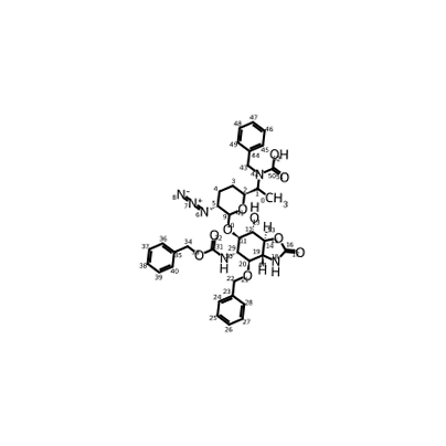 CC([C@@H]1CC[C@@H](N=[N+]=[N-])C(O[C@H]2[C@H](O)[C@H]3OC(=O)N[C@@H]3[C@@H](OCc3ccccc3)[C@@H]2NC(=O)OCc2ccccc2)O1)N(Cc1ccccc1)C(=O)O